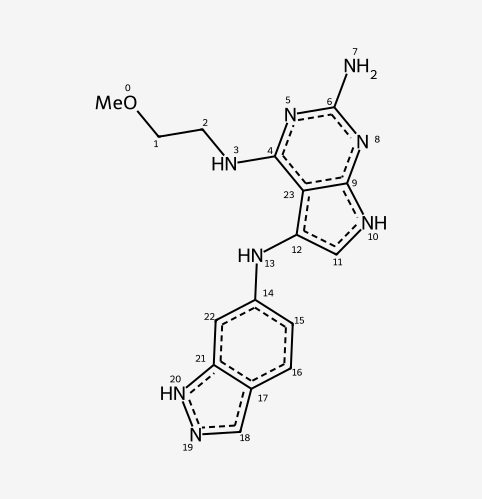 COCCNc1nc(N)nc2[nH]cc(Nc3ccc4cn[nH]c4c3)c12